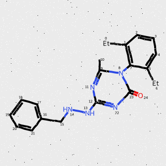 CCc1cccc(CC)c1-n1c(C)nc(NNCc2ccccc2)nc1=O